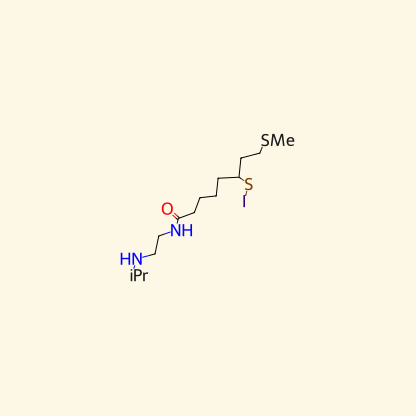 CSCCC(CCCCC(=O)NCCNC(C)C)SI